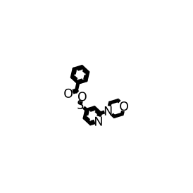 O=C(OSc1ccnc(N2CCOCC2)c1)c1ccccc1